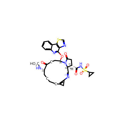 O=C(O)N[C@H]1CCCCC2=C(C2)/N=C\[C@@H]2[C@@H](C(=O)NS(=O)(=O)C3CC3)CC(=O)N2[C@H](Oc2nc3ccccc3c3scnc23)CCC1=O